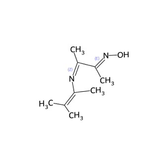 CC(C)=C(C)/N=C(C)\C(C)=N\O